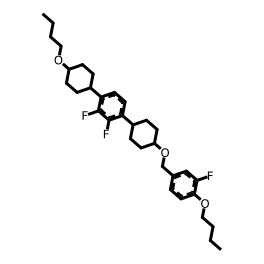 CCCCOc1ccc(COC2CCC(c3ccc(C4CCC(OCCCC)CC4)c(F)c3F)CC2)cc1F